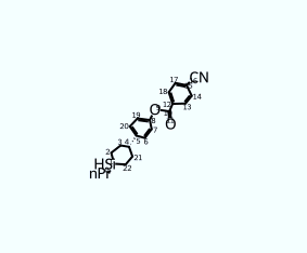 CCC[Si@H]1CC[C@H](c2ccc(OC(=O)c3ccc(C#N)cc3)cc2)CC1